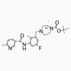 Cc1ccc(C(=O)Nc2cc(F)cc(CN3CCN(C(=O)OC(C)(C)C)[C@@H](C)C3)c2C)cn1